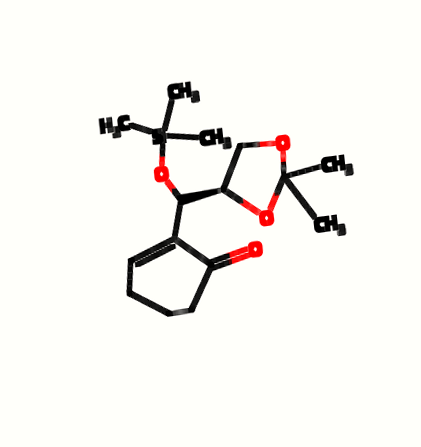 CC1(C)OC[C@H](C(O[Si](C)(C)C)C2=CCCCC2=O)O1